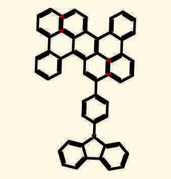 c1ccc(-c2ccccc2-c2c3ccccc3c(-c3ccccc3-c3ccccc3)c3cc(-c4ccc(-n5c6ccccc6c6ccccc65)cc4)ccc23)cc1